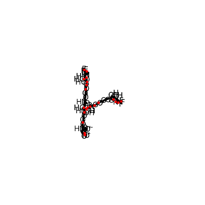 O=C(CCC(O)C(NC(=O)COCCOCCOCCNc1ccc([N+](=O)[O-])cc1[N+](=O)[O-])C(O)CCC(=O)NCCOCCOCCOCCOC[C@H]1OC[C@H](Nc2nccc(C(F)(F)F)n2)[C@@H](O)[C@H]1O)NCCOCCOCCOCCOC[C@H]1OC[C@H](Nc2nccc(C(F)(F)F)n2)[C@@H](O)[C@H]1O